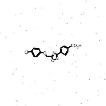 O=C(O)c1ccc(-c2noc(COc3ccc(Cl)cc3)n2)cc1